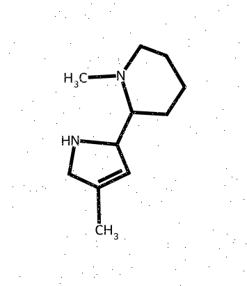 CC1=CC(C2CCCCN2C)NC1